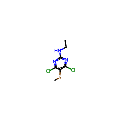 CCNc1nc(Cl)c(SC)c(Cl)n1